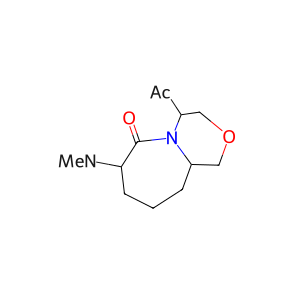 CNC1CCCC2COCC(C(C)=O)N2C1=O